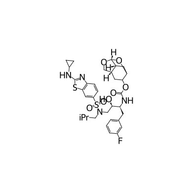 CC(C)CN(C[C@@H](O)[C@H](Cc1cccc(F)c1)NC(=O)OC1C[C@@H]2CO[C@@H]3OC1C[C@H]23)S(=O)(=O)c1ccc2nc(NC3CC3)sc2c1